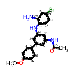 COc1ccc(-c2cc(NC(C)=O)cc(Nc3ccc(Br)cc3N)c2)cc1